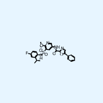 COc1ncc(NC(=O)c2ncc(-c3ccccc3)o2)cc1S(=O)(=O)Nc1ccc(F)cc1C(C)C